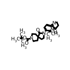 CC(C)(C)OC(=O)N1CCC2(CC1)CCN(C1=CC=C3N4CC[C@@H](C4)N3C1(C)C)C2=O